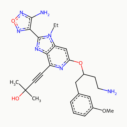 CCn1c(-c2nonc2N)nc2c(C#CC(C)(C)O)nc(OC(CCN)Cc3cccc(OC)c3)cc21